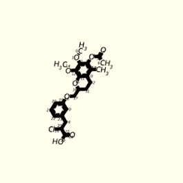 COc1c(OC(C)=O)c(C)c2c(c1OC)OC(COc1cccc(CC(Cl)C(=O)O)c1)CC2